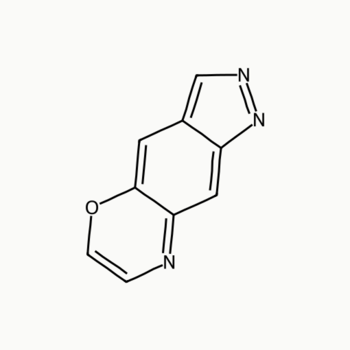 c1coc2cc3cnnc3cc2n1